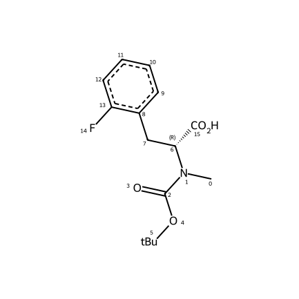 CN(C(=O)OC(C)(C)C)[C@H](Cc1ccccc1F)C(=O)O